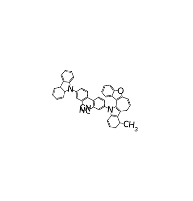 CC1CC=Cc2c1c1c(n2-c2ccc(-c3ccc(N4c5ccccc5C5C=CC=CC54)cc3C#N)c(C#N)c2)-c2c(oc3ccccc23)C=CC1